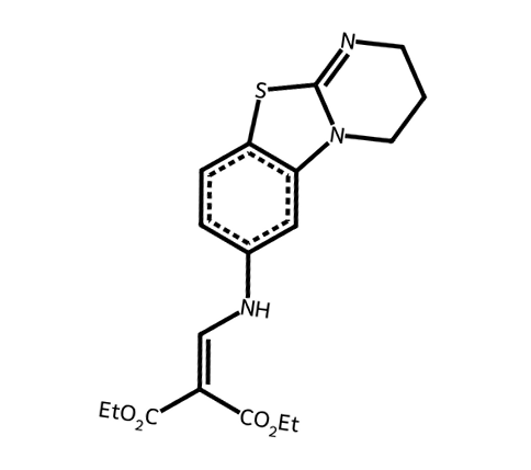 CCOC(=O)C(=CNc1ccc2c(c1)N1CCCN=C1S2)C(=O)OCC